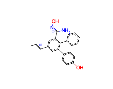 C/C=C/c1cc(/C(N)=N/O)c(-c2ccccc2)c(-c2ccc(O)cc2)c1